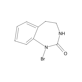 O=C1NCCc2ccccc2N1Br